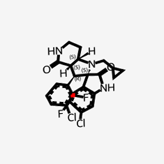 O=C1NCC[C@H]2[C@@H]1[C@H](c1cccc(Cl)c1F)[C@]1(C(=O)Nc3cc(Cl)c(F)cc31)N2CC1CC1